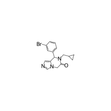 O=C1Cn2cncc2C(c2cccc(Br)c2)N1CC1CC1